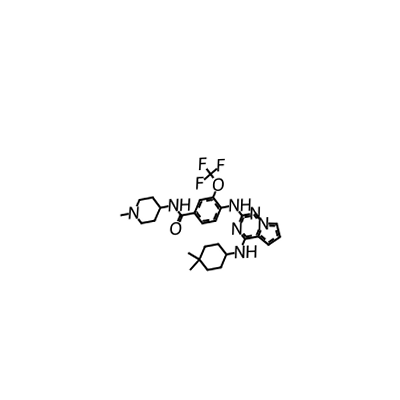 CN1CCC(NC(=O)c2ccc(Nc3nc(NC4CCC(C)(C)CC4)c4cccn4n3)c(OC(F)(F)F)c2)CC1